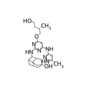 Cc1cc(Nc2cc(OC[C@@H](C)CCO)nc(NC3C4CC5CC3CC(O)(C5)C4)n2)n[nH]1